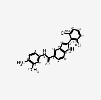 Cc1ccc(NC(=O)c2ccc3[nH]c(-c4c(Cl)cccc4Cl)cc3c2)cc1C